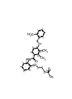 Cc1ccccc1COc1ccc(C(=O)Nc2ccccc2OCCCC(=O)O)c(C)c1C